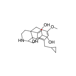 COc1cc(CC2CC2)c2c(c1)C13CCNC(C2)C1(O)CC(CO)C(O)C3